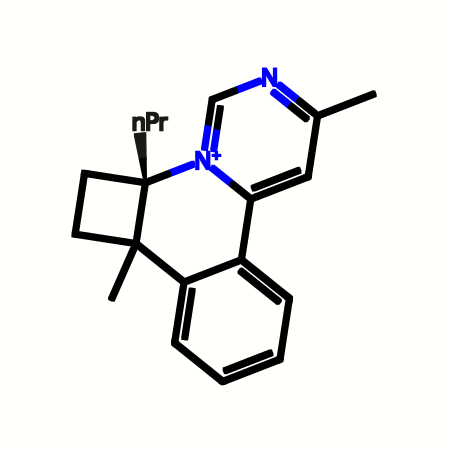 CCC[C@]12CCC1(C)c1ccccc1-c1cc(C)nc[n+]12